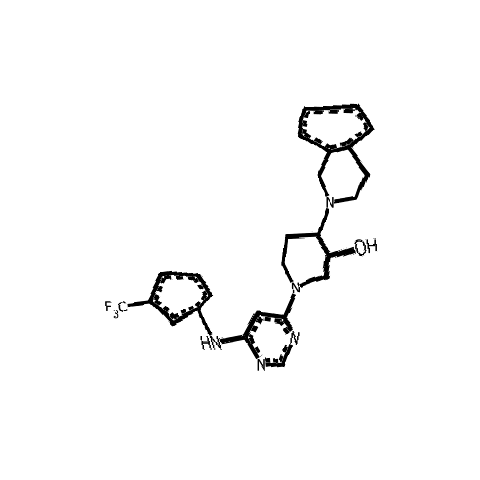 OC1CN(c2cc(Nc3cccc(C(F)(F)F)c3)ncn2)CCC1N1CCc2ccccc2C1